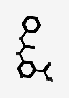 NC(=O)c1cncc(NC(=O)Oc2ccccc2)c1